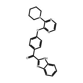 O=C(c1ccc(Oc2nccnc2N2CCCCC2)cc1)c1nc2ccccc2[nH]1